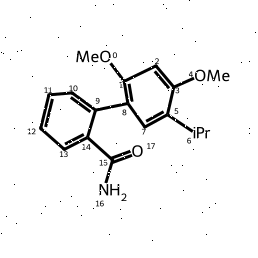 COc1cc(OC)c(C(C)C)cc1-c1ccccc1C(N)=O